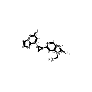 FC(F)(F)Cn1c(C(F)(F)F)nc2cnc([C@H]3C[C@@H]3c3cc(Cl)nn4ccnc34)cc21